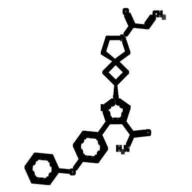 C=CC(=O)N1CC[C@]2(C1)C[C@H](n1cc(C(N)=O)c(-c3ccc(Oc4ccccc4)cc3)n1)C2